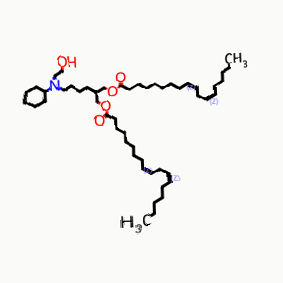 CCCCC/C=C\C/C=C\CCCCCCCC(=O)OCC(CCCCN(CCO)C1CCCCC1)COC(=O)CCCCCCC/C=C\C/C=C\CCCCC